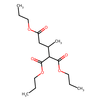 CCCOC(=O)CC(C)C(C(=O)OCCC)C(=O)OCCC